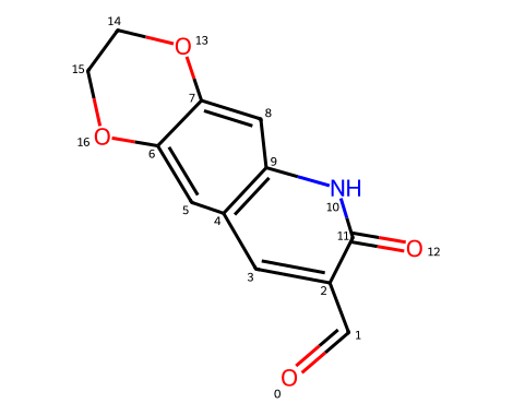 O=Cc1cc2cc3c(cc2[nH]c1=O)OCCO3